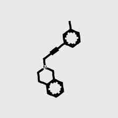 Cc1cccc(C#CCN2CCc3ccccc3C2)c1